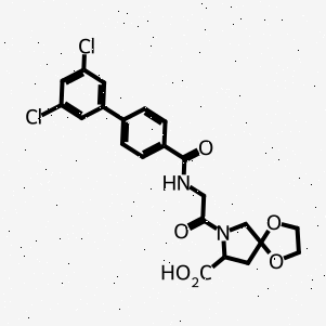 O=C(NCC(=O)N1CC2(CC1C(=O)O)OCCO2)c1ccc(-c2cc(Cl)cc(Cl)c2)cc1